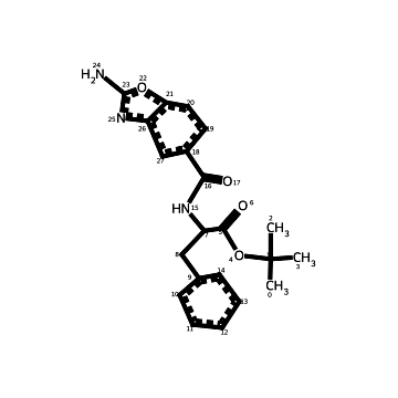 CC(C)(C)OC(=O)C(Cc1ccccc1)NC(=O)c1ccc2oc(N)nc2c1